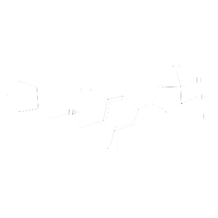 Cc1cc(B2OC(C)(C)C(C)(C)O2)cc(C)c1CNSC1CCCC1